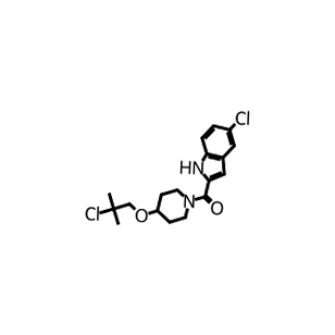 CC(C)(Cl)COC1CCN(C(=O)c2cc3cc(Cl)ccc3[nH]2)CC1